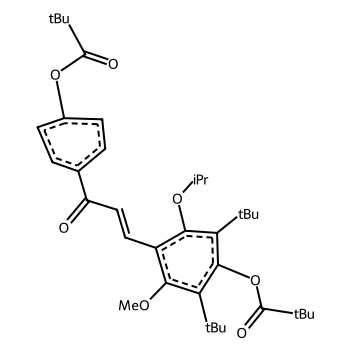 COc1c(C=CC(=O)c2ccc(OC(=O)C(C)(C)C)cc2)c(OC(C)C)c(C(C)(C)C)c(OC(=O)C(C)(C)C)c1C(C)(C)C